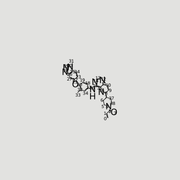 C=CC(=O)N1CCC(c2ccc3ncnc(Nc4ccc(Oc5ccc6c(c5)nnn6C)c(C)c4)c3n2)CC1